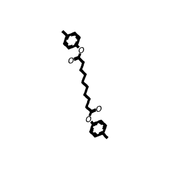 Cc1ccc(OC(=O)CCCCCCCCC(=O)Oc2ccc(C)cc2)cc1